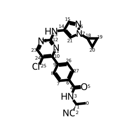 C[C@H](C#N)NC(=O)c1ccc(-c2nc(Nc3cnn(C4CC4)c3)ncc2Cl)cc1